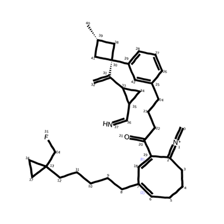 C=[N+]=C1CCC/C=C(CCCCCC2(CF)CC2)\C=C/1C(=O)CCCc1cccc([C@]2(C(=C)C3CC3C=N)C[C@@H](C)C2)c1